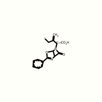 C=C(CI)[C@H](C(=O)O)N1C(=O)C2N=C(c3ccccc3)OC21